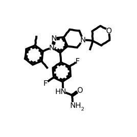 Cc1cccc(C)c1-n1nc2c(c1-c1cc(F)c(NC(N)=O)cc1F)CN(C1(C)CCOCC1)CC2